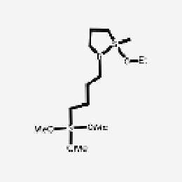 CCO[Si]1(C)CCCN1CCCC[Si](OC)(OC)OC